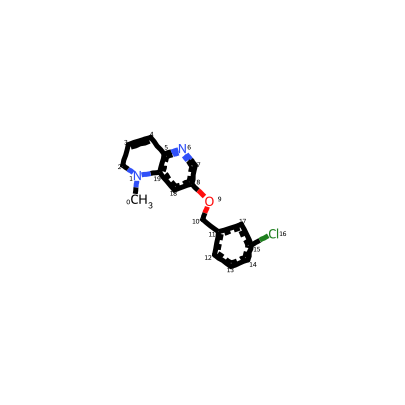 CN1CC=Cc2ncc(OCc3cccc(Cl)c3)cc21